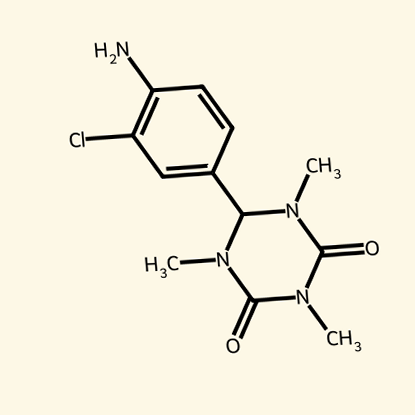 CN1C(=O)N(C)C(c2ccc(N)c(Cl)c2)N(C)C1=O